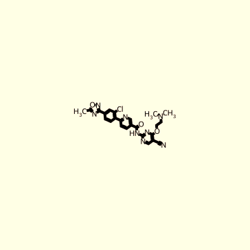 Cc1nc(-c2ccc(-c3ccc(C(=O)Nc4ncc(C#N)c(OCCN(C)C)n4)cn3)c(Cl)c2)no1